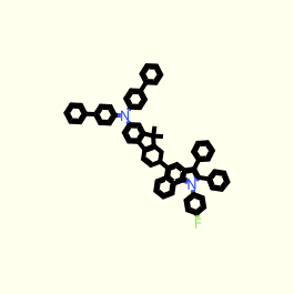 CC1(C)C2=C(C=CC(c3cc4c(-c5ccccc5)c(-c5ccccc5)n(-c5ccc(F)cc5)c4c4ccccc34)C2)c2ccc(N(c3ccc(-c4ccccc4)cc3)c3ccc(-c4ccccc4)cc3)cc21